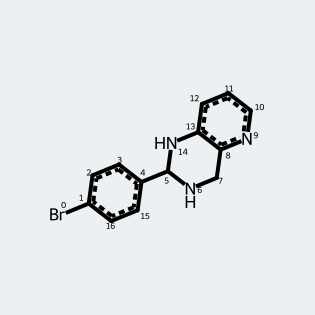 Brc1ccc(C2NCc3ncccc3N2)cc1